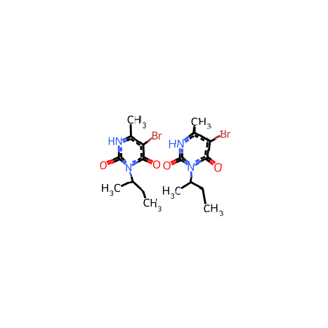 CCC(C)n1c(=O)[nH]c(C)c(Br)c1=O.CCC(C)n1c(=O)[nH]c(C)c(Br)c1=O